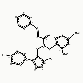 COc1ccc(CN(Cc2c(-c3ccc(O)cc3)nnn2C)C(=O)C=Cc2ccccc2)c(OC)c1